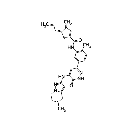 C=C/C=c1/sc(C(=O)Nc2cc(-c3cc(Nc4cc5n(n4)CCN(C)C5)c(=O)[nH]n3)ccc2C)cc1=C